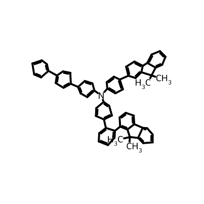 CC1(C)c2ccccc2-c2ccc(-c3ccc(N(c4ccc(-c5ccc(-c6ccccc6)cc5)cc4)c4ccc(-c5ccccc5-c5cccc6c5C(C)(C)c5ccccc5-6)cc4)cc3)cc21